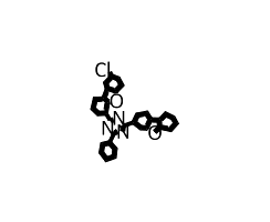 Clc1ccc2oc3c(-c4nc(-c5ccccc5)nc(-c5ccc6c(c5)oc5ccccc56)n4)cccc3c2c1